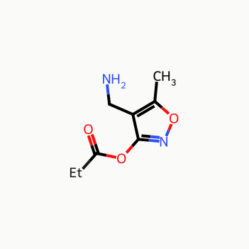 CCC(=O)Oc1noc(C)c1CN